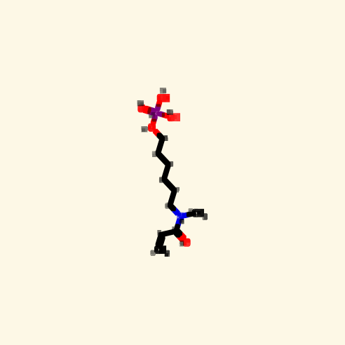 C=CC(=O)N(C)CCCCCCOP(=O)(O)O